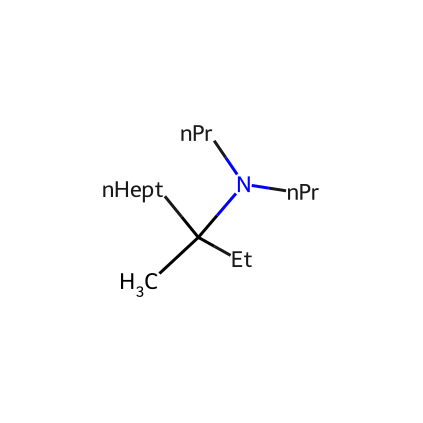 CCCCCCCC(C)(CC)N(CCC)CCC